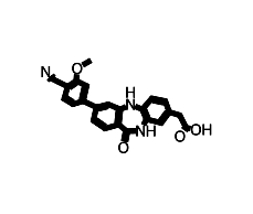 COc1cc(-c2ccc3c(c2)Nc2ccc(CC(=O)O)cc2NC3=O)ccc1C#N